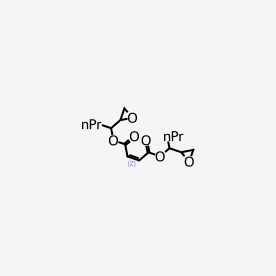 CCCC(OC(=O)/C=C\C(=O)OC(CCC)C1CO1)C1CO1